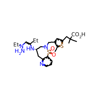 CC/C(=C/N(N)CC)N[C@H]1Cc2ncccc2S(=O)(=O)N(Cc2cc(CC(C)(C)C(=O)O)sc2C)C1